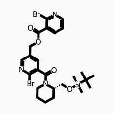 CC(C)(C)[Si](C)(C)OC[C@@H]1CCCCN1C(=O)c1cc(COC(=O)c2cccnc2Br)cnc1Br